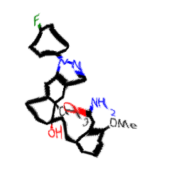 COc1cccc(CC[C@]2(O)CCC3=Cc4c(cnn4-c4ccc(F)cc4)C[C@@]32C)c1C(N)=O